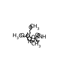 COCCCn1cc(COC)c2cnc([C@@H](C)N(C(=O)[C@H]3CNCCO3)C3CC3)cc21